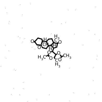 CCC(OC(C)=O)C(OC(C)=O)C1CC(=O)[C@@]2(C)CC[C@@H]3[C@@H](CCC45OC4C(=O)CC[C@]35C)[C@H]12